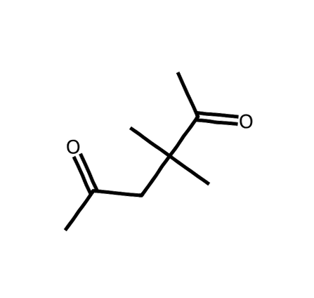 CC(=O)CC(C)(C)C(C)=O